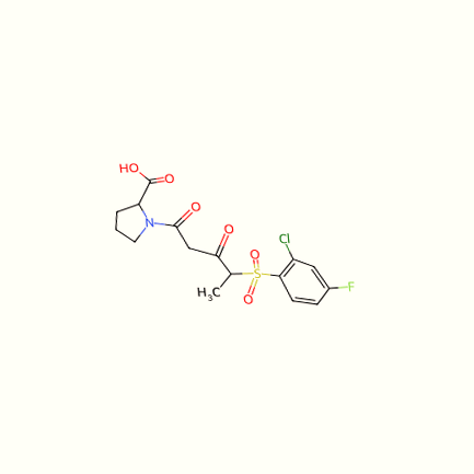 CC(C(=O)CC(=O)N1CCCC1C(=O)O)S(=O)(=O)c1ccc(F)cc1Cl